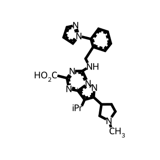 CC(C)c1c(C2CCN(C)C2)nn2c(NCc3ccccc3-n3cccn3)nc(C(=O)O)nc12